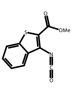 COC(=O)c1sc2ccccc2c1N=C=O